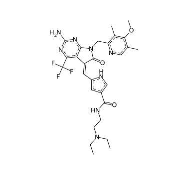 CCN(CC)CCNC(=O)c1c[nH]c(/C=C2\C(=O)N(Cc3ncc(C)c(OC)c3C)c3nc(N)nc(C(F)(F)F)c32)c1